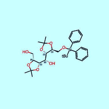 CC1(C)O[C@@H]([C@H](O)[C@@H]2OC(C)(C)O[C@@H]2CO)[C@H](CO[Si](c2ccccc2)(c2ccccc2)C(C)(C)C)O1